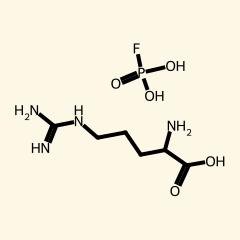 N=C(N)NCCCC(N)C(=O)O.O=P(O)(O)F